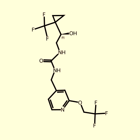 O=C(NCc1ccnc(OCC(F)(F)F)c1)NC[C@H](O)C1(C(F)(F)F)CC1